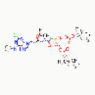 COC(CCn1cnc2c(NC3CCCC3)nc(Cl)nc21)CN(C)C(=O)CP(OCOC(=O)OCC(C)(C)C)OCOC(=O)OCC(C)(C)C